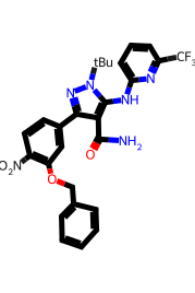 CC(C)(C)n1nc(-c2ccc([N+](=O)[O-])c(OCc3ccccc3)c2)c(C(N)=O)c1Nc1cccc(C(F)(F)F)n1